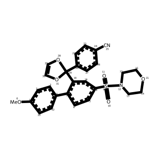 COc1ccc(-c2ccc(S(=O)(=O)N3CCOCC3)cc2C2(c3ccc(C#N)cc3)OC=CO2)cc1